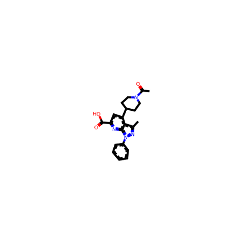 CC(=O)N1CCC(c2cc(C(=O)O)nc3c2c(C)nn3-c2ccccc2)CC1